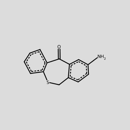 Nc1ccc2c(c1)C(=O)c1ccccc1SC2